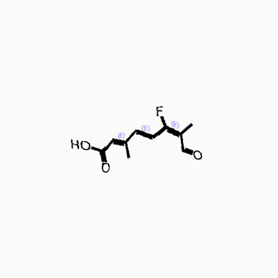 CC(/C=C/C(F)=C(/C)C=O)=C\C(=O)O